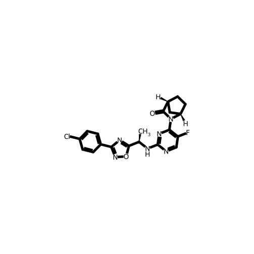 C[C@@H](Nc1ncc(F)c(N2C(=O)[C@@H]3CC[C@H]2C3)n1)c1nc(-c2ccc(Cl)cc2)no1